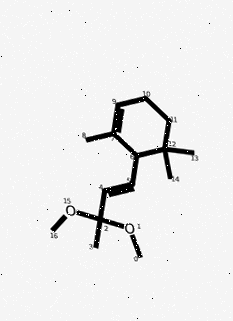 COC(C)(C=CC1C(C)=CCCC1(C)C)OC